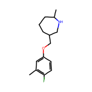 Cc1cc(OCC2CCCC(C)NC2)ccc1F